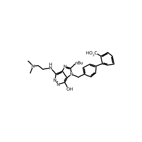 CCCCc1nc2c(NCCN(C)C)nnc(O)c2n1Cc1ccc(-c2ccccc2C(=O)O)cc1